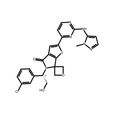 Cn1nccc1Nc1nccc(-c2cc3c(s2)C2(COC2)N([C@H](CO)c2cccc(Cl)c2)C3=O)n1